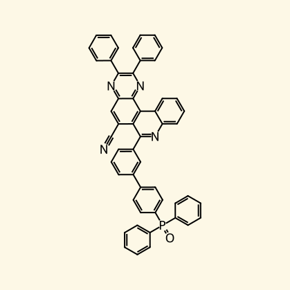 N#Cc1cc2nc(-c3ccccc3)c(-c3ccccc3)nc2c2c1c(-c1cccc(-c3ccc(P(=O)(c4ccccc4)c4ccccc4)cc3)c1)nc1ccccc12